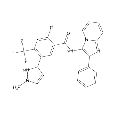 CN1C=CC(c2cc(C(=O)Nc3c(-c4ccccc4)nc4ccccn34)c(Cl)cc2C(F)(F)F)N1